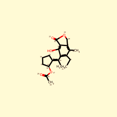 CCc1c(C)c2c(c(O)c1C(C)=C1CCC[C@@H]1OC(C)=O)C(=O)OC2